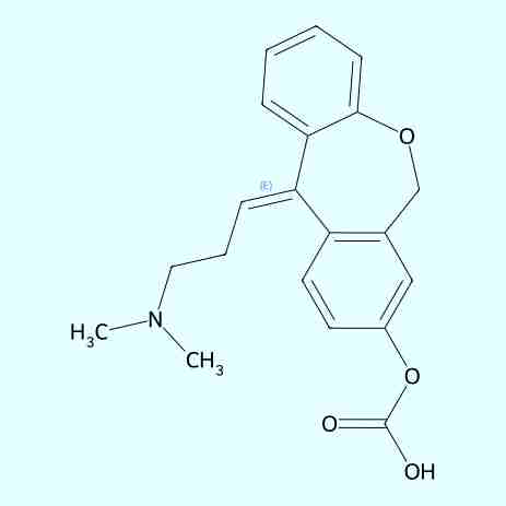 CN(C)CC/C=C1\c2ccc(OC(=O)O)cc2COc2ccccc21